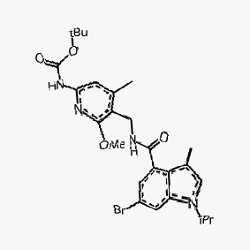 COc1nc(NC(=O)OC(C)(C)C)cc(C)c1CNC(=O)c1cc(Br)cc2c1c(C)cn2C(C)C